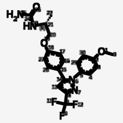 COc1ccc(-n2nc(C(F)(F)F)cc2-c2ccc(OC[C@@H](C)NC(N)=O)cc2)cc1